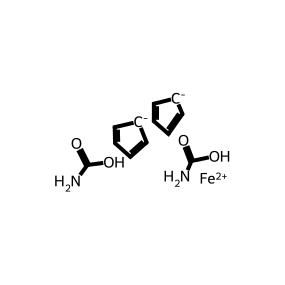 NC(=O)O.NC(=O)O.[Fe+2].c1cc[cH-]c1.c1cc[cH-]c1